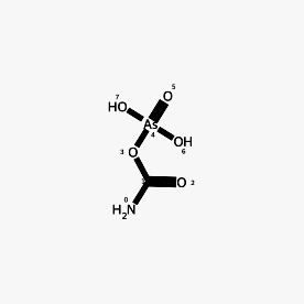 NC(=O)O[As](=O)(O)O